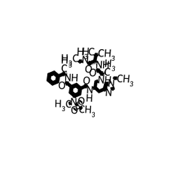 CCNC(=O)[C@@H](NC(=O)[C@H](C)NCC(Cc1cn(CC)cn1)NC(=O)c1cc(C(=O)N[C@H](C)c2ccccc2)cc(N(C)S(C)(=O)=O)c1)C(C)C